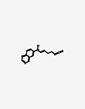 [O-][S+](/C=C/CCN=C=S)c1ccc2ncncc2c1